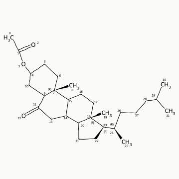 CC(=O)OC1CC[C@@]2(C)C(C1)C(=O)CC1C2CC[C@@]2(C)C1CC[C@@H]2[C@H](C)CCCC(C)C